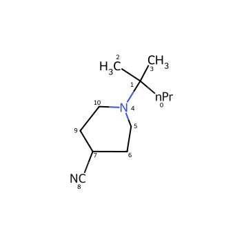 CCCC(C)(C)N1CCC(C#N)CC1